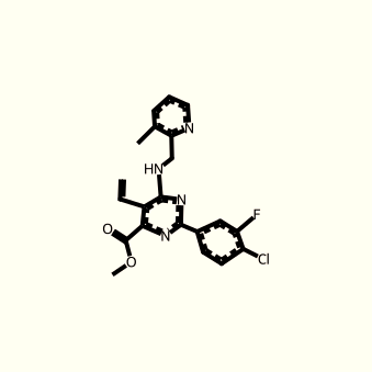 C=Cc1c(NCc2ncccc2C)nc(-c2ccc(Cl)c(F)c2)nc1C(=O)OC